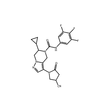 N#CC1CC(=O)N(c2cnn3c2CN(C(=O)Nc2cc(F)c(F)c(F)c2)C(C2CC2)C3)C1